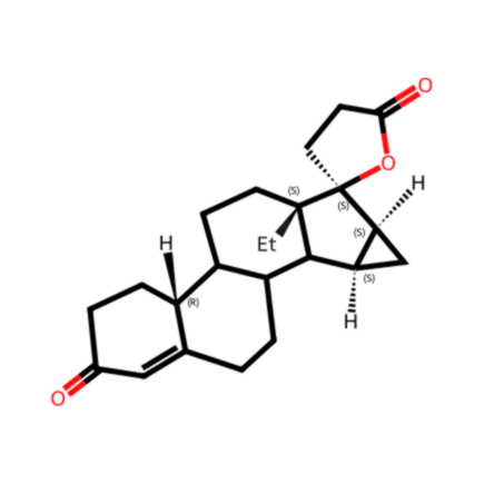 CC[C@]12CCC3C(CCC4=CC(=O)CC[C@@H]43)C1[C@@H]1C[C@@H]1[C@@]21CCC(=O)O1